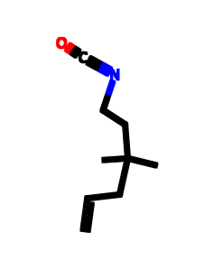 C=CCC(C)(C)CCN=C=O